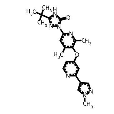 Cc1cc(-n2nc(C(C)(C)C)[nH]c2=O)nc(C)c1Oc1ccnc(-c2cnn(C)c2)c1